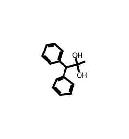 CC(O)(O)C(c1ccccc1)c1ccccc1